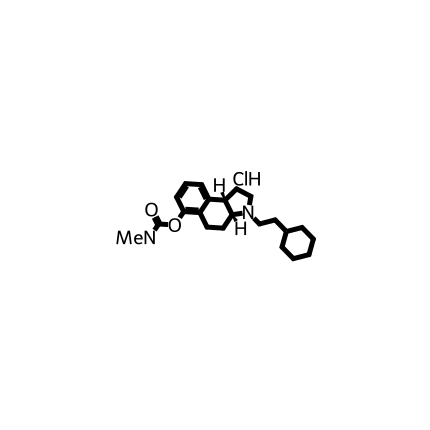 CNC(=O)Oc1cccc2c1CC[C@@H]1[C@H]2CCN1CCC1CCCCC1.Cl